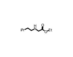 CCOC(=O)CNCCC(C)C